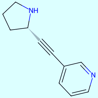 C(#C[C@@H]1CCCN1)c1cccnc1